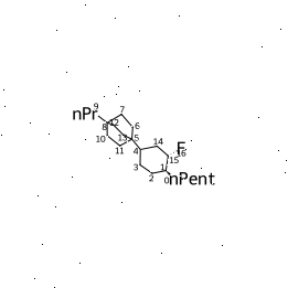 CCCCC[C@H]1CCC(C23CCC(CCC)(CC2)CC3)C[C@@H]1F